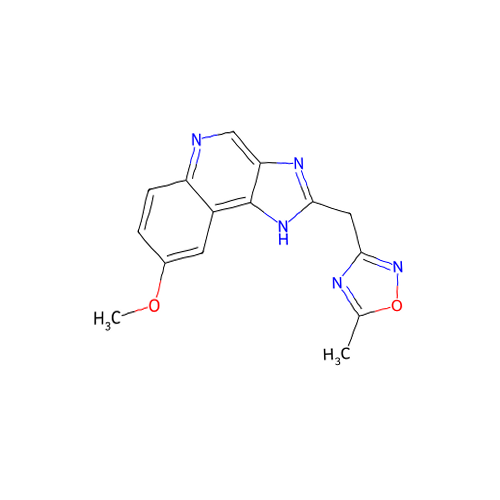 COc1ccc2ncc3nc(Cc4noc(C)n4)[nH]c3c2c1